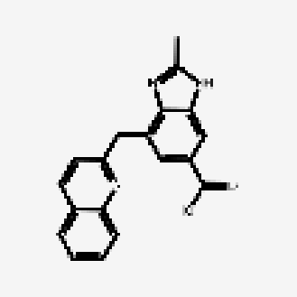 Cc1nc2c(Cc3ccc4ccccc4n3)cc(C(=O)O)cc2[nH]1